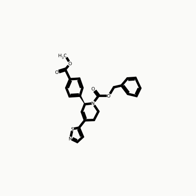 COC(=O)c1ccc([C@@H]2C=C(c3ccns3)CCN2C(=O)OCc2ccccc2)cc1